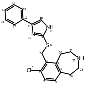 Clc1ccc2c(c1CSc1nc(-c3ccccc3)c[nH]1)CCNCC2